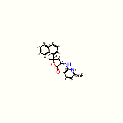 CCCc1cccc(NC2CC(C)(c3cccc4ccccc34)OC2=O)n1